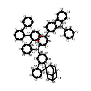 c1ccc(-c2ccccc2-c2ccccc2-c2ccccc2N(c2ccc(-c3ccc4c5ccccc5n(-c5ccccc5)c4c3)cc2)c2ccc3c(c2)-c2ccccc2C32C3CC4CC(C3)CC2C4)cc1